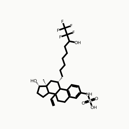 C=CC12CCc3cc(NS(=O)(=O)O)ccc3C1[C@@H](CCCCCCC(O)C(F)(F)C(F)(F)F)C[C@@]1(C)C2CC[C@@H]1O